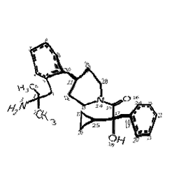 CC(C)(N)Cc1ccccc1C1CCN(C(=O)C(O)(c2ccccc2)C2CC2)CC1